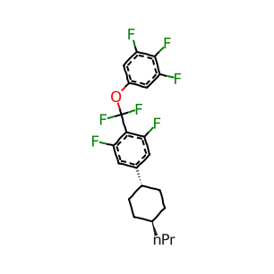 CCC[C@H]1CC[C@H](c2cc(F)c(C(F)(F)Oc3cc(F)c(F)c(F)c3)c(F)c2)CC1